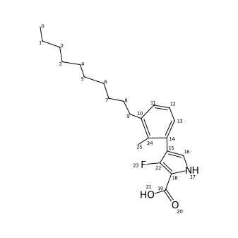 CCCCCCCCCCc1cccc(-c2c[nH]c(C(=O)O)c2F)c1C